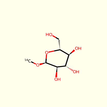 [14CH3]O[C@H]1O[C@H](CO)[C@@H](O)[C@H](O)[C@H]1O